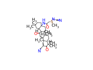 C/S(CC(=O)N[C@]12CCC(C)(C)C[C@H]1[C@H]1C(=O)C=C3[C@@]4(C)C=C(C#N)C(=O)C(C)(C)[C@@H]4CC[C@@]3(C)[C@]1(C)CC2)=N\C#N